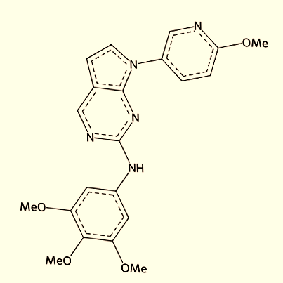 COc1ccc(-n2ccc3cnc(Nc4cc(OC)c(OC)c(OC)c4)nc32)cn1